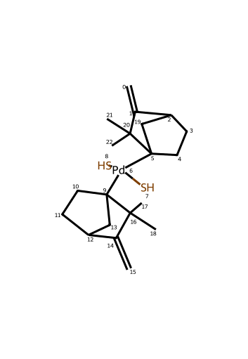 C=C1C2CC[C]([Pd]([SH])([SH])[C]34CCC(C3)C(=C)C4(C)C)(C2)C1(C)C